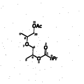 CCCC(=O)OC(C)COC(C)COC(C)=O